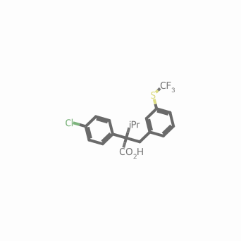 CC(C)C(Cc1cccc(SC(F)(F)F)c1)(C(=O)O)c1ccc(Cl)cc1